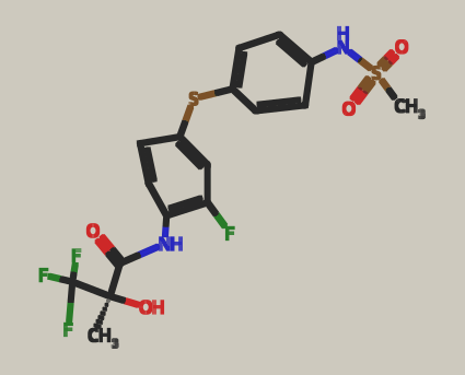 C[C@@](O)(C(=O)Nc1ccc(Sc2ccc(NS(C)(=O)=O)cc2)cc1F)C(F)(F)F